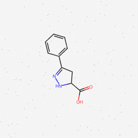 O=C(O)C1CC(c2ccccc2)=NN1